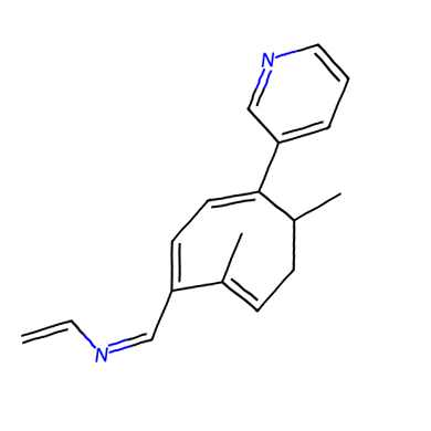 C=C\N=C/C1=C/C=C(/c2cccnc2)C(C)C\C=C\1C